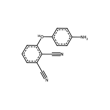 N#Cc1cccc([16O]c2ccc(N)cc2)c1C#N